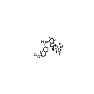 Nc1ncnc2c1c(-c1ccc3nc(OC4CC4)ccc3c1)nn2CC(O)(C(F)(F)F)C(F)(F)F